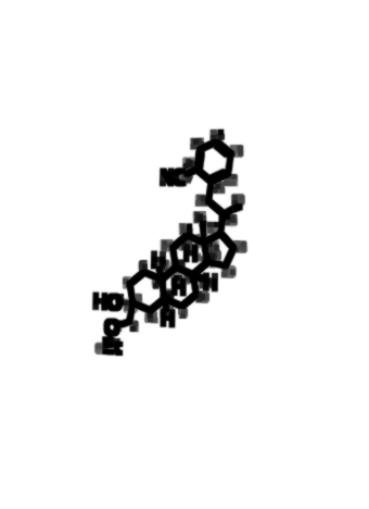 CCOC[C@@]1(O)CC[C@H]2[C@H](CC[C@@H]3[C@@H]2CC[C@]2(C)C([C@H](C)Cc4ccccc4C#N)CC[C@@H]32)C1